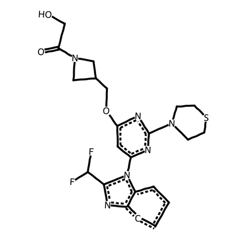 O=C(CO)N1CC(COc2cc(-n3c(C(F)F)nc4ccccc43)nc(N3CCSCC3)n2)C1